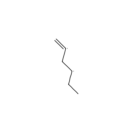 C=[C]C[CH]CC